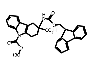 CC(C)(C)OC(=O)n1c2c(c3ccccc31)CC(NC(=O)OCC1c3ccccc3-c3ccccc31)(C(=O)O)CC2